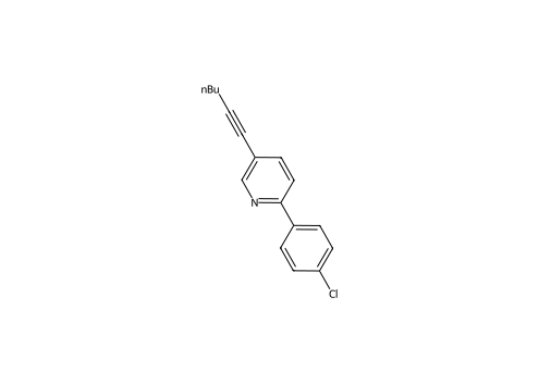 CCCCC#Cc1ccc(-c2ccc(Cl)cc2)nc1